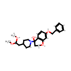 COC(CC1CCN(C2(O)CCOc3cc(OCc4ccccc4)ccc32)CC1)OC